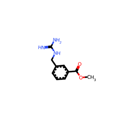 COC(=O)c1cccc(CNC(=N)N)c1